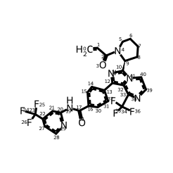 C=CC(=O)N1CCCC[C@H]1c1nc(-c2ccc(C(=O)Nc3cc(C(F)(F)F)ccn3)cc2)c2c(C(F)(F)F)nccn12